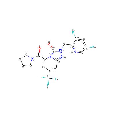 O=C(C1CC(C(F)(F)F)Cc2nn(Cc3ncc(F)cc3F)c(=O)n21)N1CCCC1